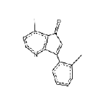 Cc1ccccc1C1=CC(=O)c2c(C)ccnc21